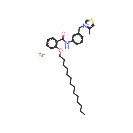 CCCCCCCCCCCCCCOc1ccccc1C(=O)Nc1cccc(C[n+]2cscc2C)c1.[Br-]